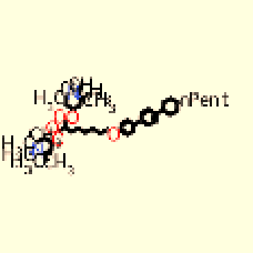 CCCCCC1CCC(c2ccc(-c3ccc(OCCCCCCC(C(=O)OC4CC(C)(C)N(C)C(C)(C)C4)C(=O)OC4CC(C)(C)N(C)C(C)(C)C4)cc3)cc2)CC1